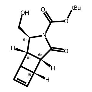 CC(C)(C)OC(=O)N1C(=O)[C@H]2[C@H](C3C=C[C@H]32)[C@H]1CO